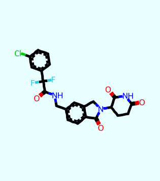 O=C1CCC(N2Cc3cc(CNC(=O)C(F)(F)c4cccc(Cl)c4)ccc3C2=O)C(=O)N1